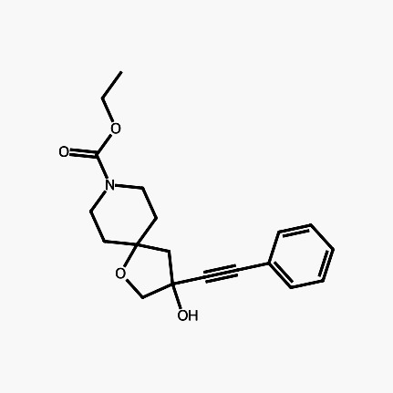 CCOC(=O)N1CCC2(CC1)CC(O)(C#Cc1ccccc1)CO2